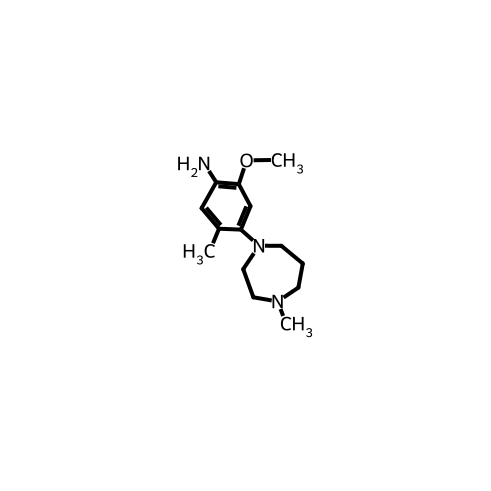 COc1cc(N2CCCN(C)CC2)c(C)cc1N